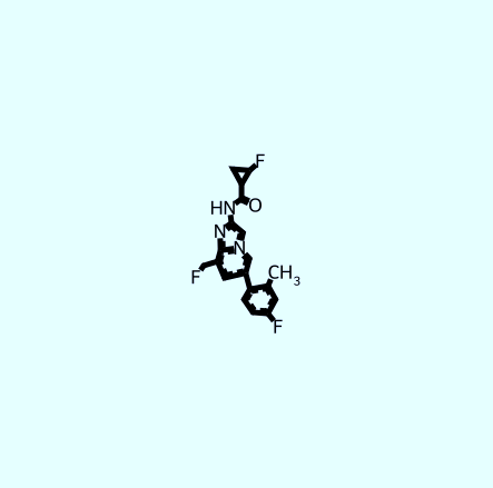 Cc1cc(F)ccc1-c1cc(CF)c2nc(NC(=O)C3CC3F)cn2c1